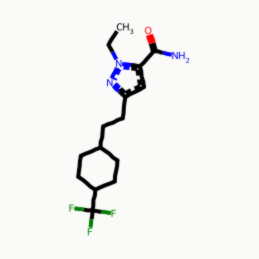 CCn1nc(CCC2CCC(C(F)(F)F)CC2)cc1C(N)=O